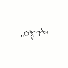 COc1ccc(SN(CCCNC(=O)O)C2CN(C)C2)cc1